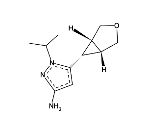 CC(C)n1nc(N)cc1[C@@H]1[C@@H]2COC[C@@H]21